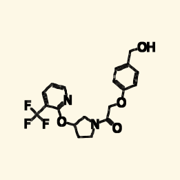 O=C(COc1ccc(CO)cc1)N1CCC(Oc2ncccc2C(F)(F)F)C1